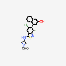 O=CN1CC(Nc2snc3c(F)c(-c4cc(O)cc5ccccc45)c(Cl)cc23)C1